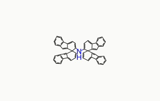 C1=CC2(C(NC3=CC=C4C(=Cc5ccccc54)C34C=CC=C3C4=Cc4ccccc43)=CC=C3C2=Cc2ccccc23)C2=Cc3ccccc3C2=C1